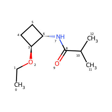 CCO[C@H]1CC[C@@H]1NC(=O)C(C)C